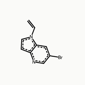 C=Cn1ccc2ncc(Br)cc21